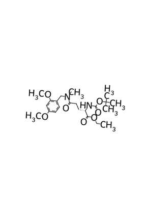 CCOC(=O)[C@H](CCC(=O)N(C)Cc1ccc(OC)cc1OC)NC(=O)OC(C)(C)C